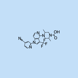 CC1CN(c2nccc3c2c(C(F)(F)F)cn3-c2cc(C#N)ccn2)C(C)CN1C(=O)O